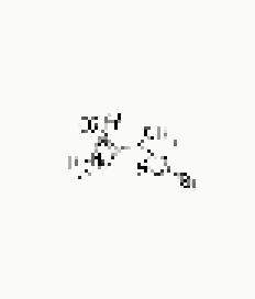 CC(c1cc(Br)cs1)c1cn(C)cc1C(=O)O